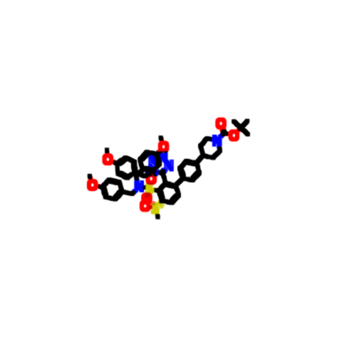 COc1ccc(CN(Cc2ccc(OC)cc2)S(=O)(=O)c2c([S+](C)[O-])ccc(-c3ccc(C4CCN(C(=O)OC(C)(C)C)CC4)cc3)c2-c2nnnn2Cc2ccc(OC)cc2)cc1